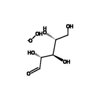 O=C[C@H](O)[C@H](O)[C@H](O)CO.[O]O